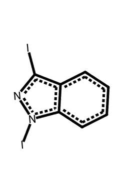 Ic1nn(I)c2ccccc12